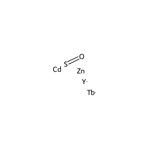 O=S.[Cd].[Tb].[Y].[Zn]